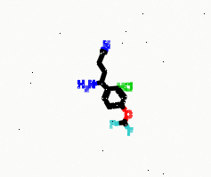 Cl.N#CCCC(N)c1ccc(OC(F)F)cc1